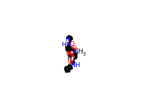 CN1C(=O)c2cc(NC(=O)c3ccccn3)ccc2OC[C@@H]2O[C@H](CC(=O)NC3Cc4ccccc4C3)CC[C@@H]21